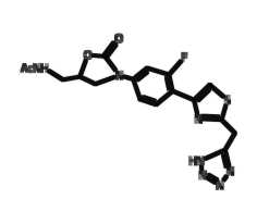 CC(=O)NCC1CN(c2ccc(-c3csc(Cc4nnn[nH]4)n3)c(F)c2)C(=O)O1